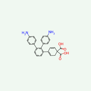 Nc1ccc(-c2cccc(C3=CCC(C(=O)O)(C(=O)O)C=C3)c2-c2ccc(N)cc2)cc1